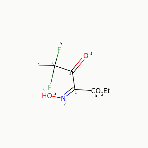 CCOC(=O)C(=NO)C(=O)C(C)(F)F